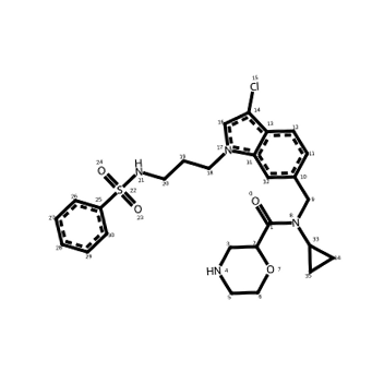 O=C(C1CNCCO1)N(Cc1ccc2c(Cl)cn(CCCNS(=O)(=O)c3ccccc3)c2c1)C1CC1